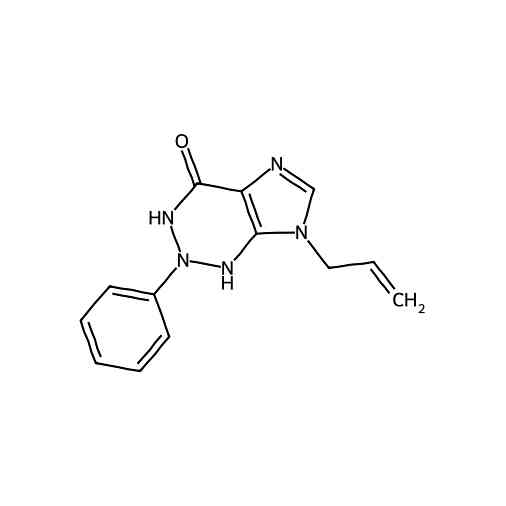 C=CCn1cnc2c1NN(c1ccccc1)NC2=O